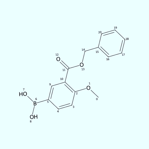 COc1ccc(B(O)O)cc1C(=O)OCc1ccccc1